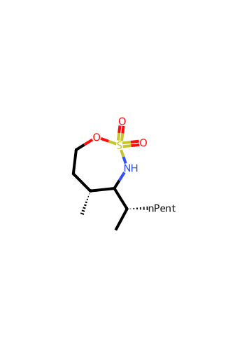 CCCCC[C@H](C)C1NS(=O)(=O)OCC[C@H]1C